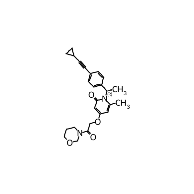 Cc1cc(OCC(=O)N2CCCOC2)cc(=O)n1[C@H](C)c1ccc(C#CC2CC2)cc1